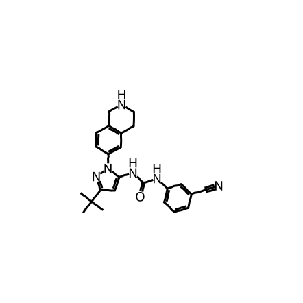 CC(C)(C)c1cc(NC(=O)Nc2cccc(C#N)c2)n(-c2ccc3c(c2)CCNC3)n1